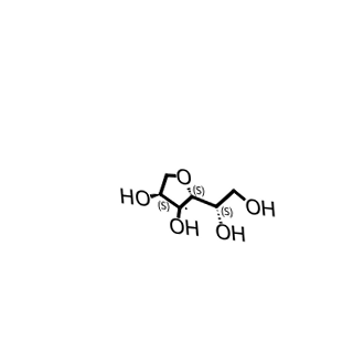 OC[C@H](O)[C@H]1OC[C@H](O)[C]1O